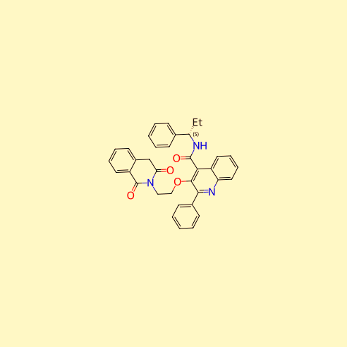 CC[C@H](NC(=O)c1c(OCCN2C(=O)Cc3ccccc3C2=O)c(-c2ccccc2)nc2ccccc12)c1ccccc1